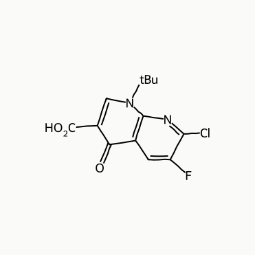 CC(C)(C)n1cc(C(=O)O)c(=O)c2cc(F)c(Cl)nc21